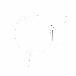 CCn1cnccc(C)c(C)cc1C